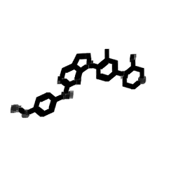 Cc1cc(N2CCOCC2F)ccc1-n1ccc2cnc(Nc3ccc(OC(C)C)cc3)nc21